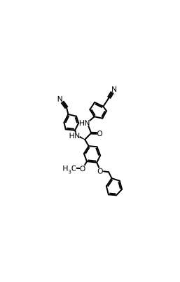 COc1cc([C@@H](Nc2ccc(C#N)cc2)C(=O)Nc2ccc(C#N)cc2)ccc1OCc1ccccc1